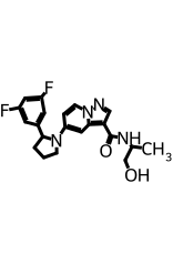 CC(CO)NC(=O)c1cnn2ccc(N3CCCC3c3cc(F)cc(F)c3)cc12